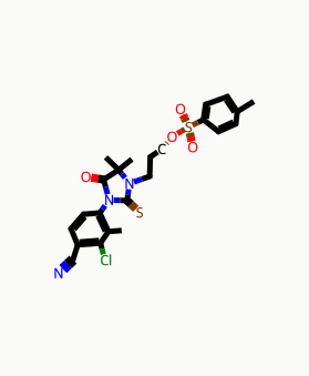 Cc1ccc(S(=O)(=O)OCCCN2C(=S)N(c3ccc(C#N)c(Cl)c3C)C(=O)C2(C)C)cc1